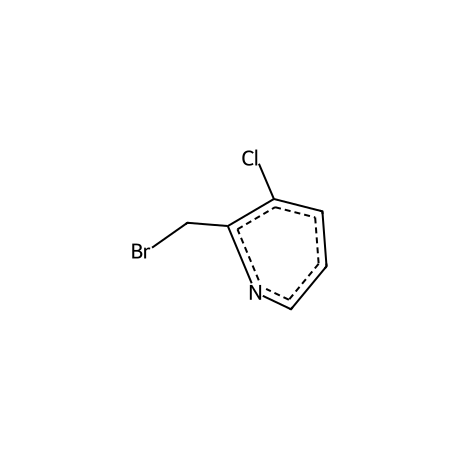 Clc1cccnc1CBr